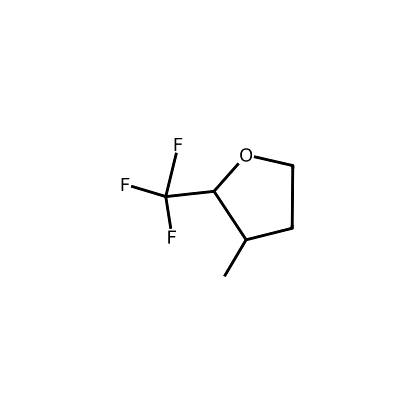 CC1CCOC1C(F)(F)F